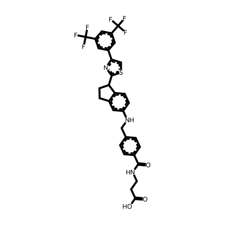 O=C(O)CCNC(=O)c1ccc(CNc2ccc3c(c2)CCC3c2nc(-c3cc(C(F)(F)F)cc(C(F)(F)F)c3)cs2)cc1